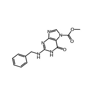 COC(=O)n1cnc2nc(NCc3ccccc3)[nH]c(=O)c21